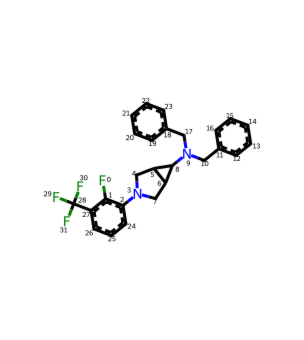 Fc1c(N2CC3C(C2)C3N(Cc2ccccc2)Cc2ccccc2)cccc1C(F)(F)F